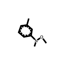 CON(C)c1cccc(C)c1